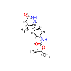 C#CC(C)OC(=O)Nc1ccc(C2=NNC(=O)CC2C)cc1